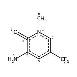 Cn1cc(C(F)(F)F)cc(N)c1=O